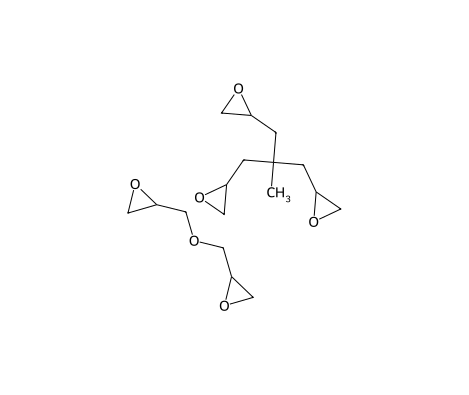 C(OCC1CO1)C1CO1.CC(CC1CO1)(CC1CO1)CC1CO1